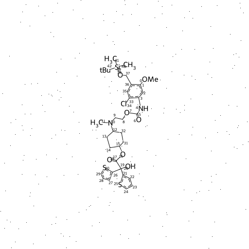 COc1cc(NC(=O)OCCN(C)C2CCC(OC(=O)C(O)(c3cccs3)c3cccs3)CC2)c(Cl)cc1CO[Si](C)(C)C(C)(C)C